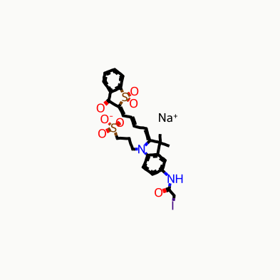 CC1(C)/C(=C/C=C/C=C2/C(=O)c3ccccc3S2(=O)=O)N(CCCS(=O)(=O)[O-])c2ccc(NC(=O)CI)cc21.[Na+]